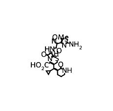 CON=C(C(=O)N[C@@H]1C(=O)N2C(C(=O)O)=C(C(=C3CCCNC3=O)C3CC3)CS[C@H]12)c1csc(N)n1